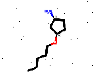 CCCCCO[C@@H]1CC[C@H](N)C1